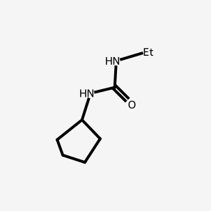 CCNC(=O)NC1CCCC1